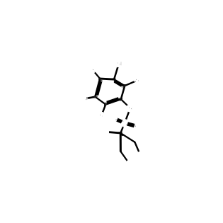 CCC(C)(CC)S(=O)(=O)Nc1c(N)c(N)c(N)c(N)c1N